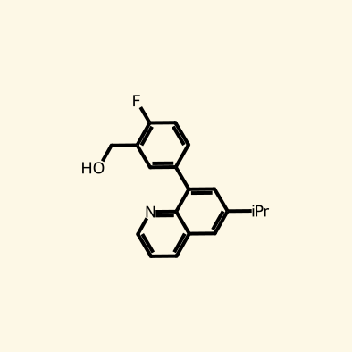 CC(C)c1cc(-c2ccc(F)c(CO)c2)c2ncccc2c1